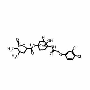 CCC(C)CC(ON=O)C(=O)NC12CCC(NC(=O)COc3ccc(Cl)c(Cl)c3)(CC1)[C@@H](O)C2